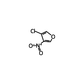 O=[N+]([O-])c1cocc1Cl